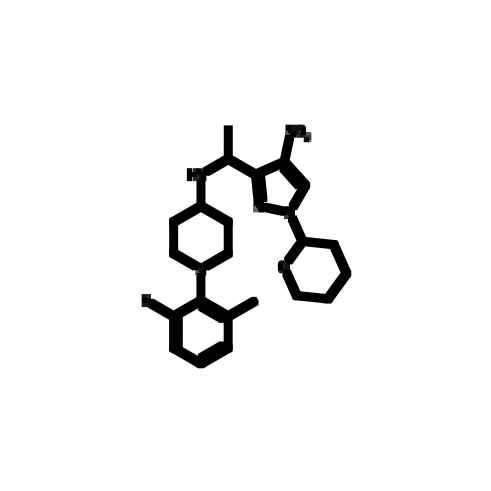 Cc1cccc(F)c1N1CCC(NC(C)c2nn(C3CCCCO3)cc2[N+](=O)[O-])CC1